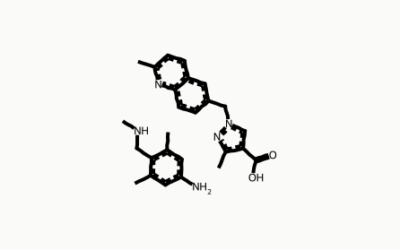 CNCc1c(C)cc(N)cc1C.Cc1ccc2cc(Cn3cc(C(=O)O)c(C)n3)ccc2n1